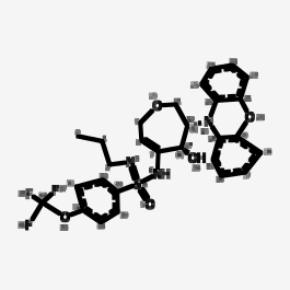 CCCN=S(=O)(NC1=CCOC[C@H](N2c3ccccc3Oc3ccccc32)[C@H]1O)c1ccc(OC(F)(F)F)cc1